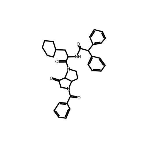 O=C(NC(CC1CCCCC1)C(=O)N1CCC2C1C(=O)CN2C(=O)c1ccccc1)C(c1ccccc1)c1ccccc1